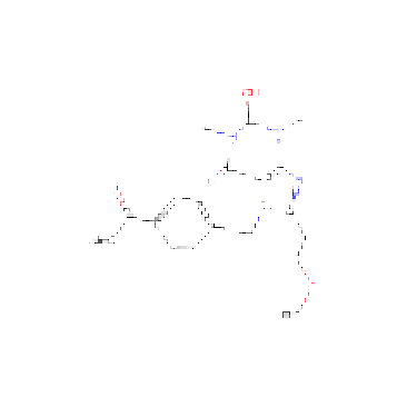 CCCOCCc1nc2c(n1Cc1ccc(C(=O)OC)cc1)C(=O)N(C)C(O)N2C